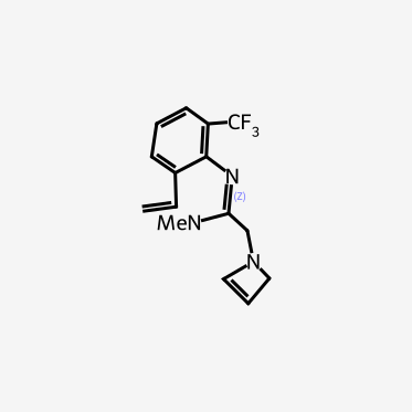 C=Cc1cccc(C(F)(F)F)c1/N=C(/CN1C=CC1)NC